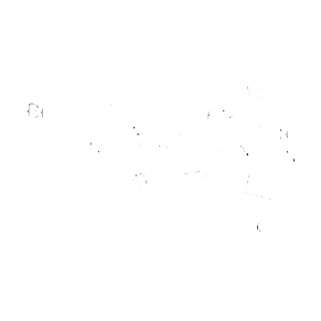 Cc1cc2c(cc1C(=O)N1CCc3cc(Br)cnc31)[nH]c(=O)c1nnc(C3CCCOC3)n12